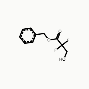 O=C(OCc1ccccc1)C(F)(F)CO